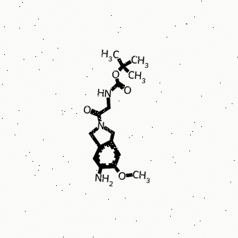 COc1cc2c(cc1N)CN(C(=O)CNC(=O)OC(C)(C)C)C2